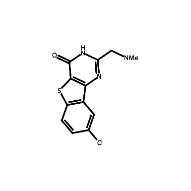 CNCc1nc2c(sc3ccc(Cl)cc32)c(=O)[nH]1